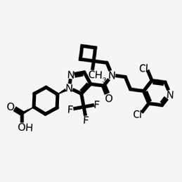 CC1(CN(CCc2c(Cl)cncc2Cl)C(=O)c2cnn([C@H]3CC[C@@H](C(=O)O)CC3)c2C(F)(F)F)CCC1